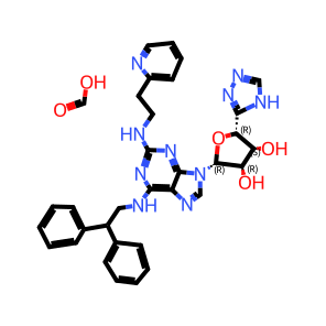 O=CO.O[C@@H]1[C@H](O)[C@@H](c2nnc[nH]2)O[C@H]1n1cnc2c(NCC(c3ccccc3)c3ccccc3)nc(NCCc3ccccn3)nc21